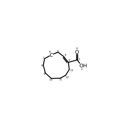 O=C(O)C1=CCCCCCCCCC1